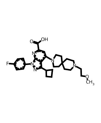 COCCN1CCC2(CC1)CCN(c1cc(C(=O)O)nc3c1c(C1CCC1)nn3-c1ccc(F)cc1)CC2